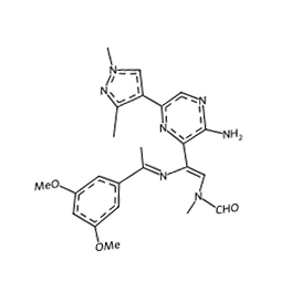 COc1cc(OC)cc(/C(C)=N/C(=C\N(C)C=O)c2nc(-c3cn(C)nc3C)cnc2N)c1